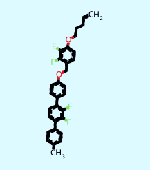 C=CCCCOc1ccc(COc2ccc(-c3ccc(-c4ccc(C)cc4)c(F)c3F)cc2)c(F)c1F